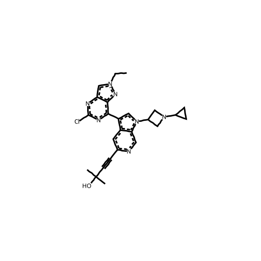 CCn1cc2nc(Cl)nc(-c3cn(C4CN(C5CC5)C4)c4cnc(C#CC(C)(C)O)cc34)c2n1